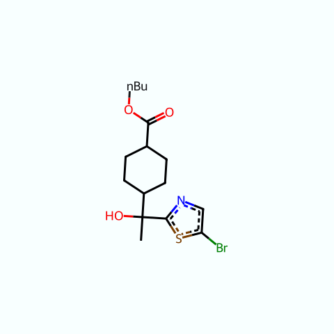 CCCCOC(=O)C1CCC(C(C)(O)c2ncc(Br)s2)CC1